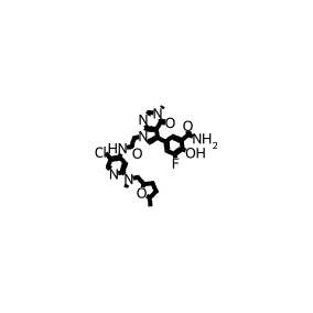 CC1CCC(CN(C)c2cc(NC(=O)Cn3cc(-c4cc(F)c(O)c(C(N)=O)c4)c4c(=O)n(C)cnc43)c(Cl)cn2)O1